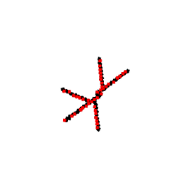 CCCCCCCCCCCCCCCCCCN(CCCCCCCCCCCCCCCCCC)CCN(CCCCCCCCCCCCCCCCCC)CCN1CCN(CCN(CCCCCCCCCCCCCCCCCC)CCCCCCCCCCCCCCCCCC)CC1